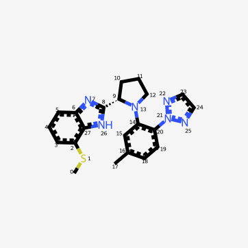 CSc1cccc2nc([C@@H]3CCCN3c3cc(C)c[c]c3-n3nccn3)[nH]c12